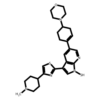 CN1CCC(c2csc(-c3cn(S)c4ncc(C5=CCC(N6CCOCC6)CC5)cc34)n2)CC1